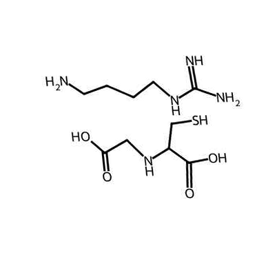 N=C(N)NCCCCN.O=C(O)CNC(CS)C(=O)O